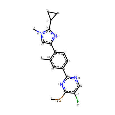 CSc1nc(-c2ccc(-c3cn(C)c(C4CC4)n3)c(C)c2)ncc1F